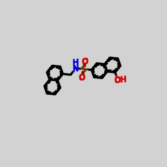 O=S(=O)(NCc1cccc2ccccc12)c1ccc2c(O)cccc2c1